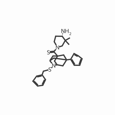 CC1(C)CN(C(=S)C23CC4CC(c5ccccc5)(CC(C2)N4SCc2ccccc2)C3)CC[C@@H]1N